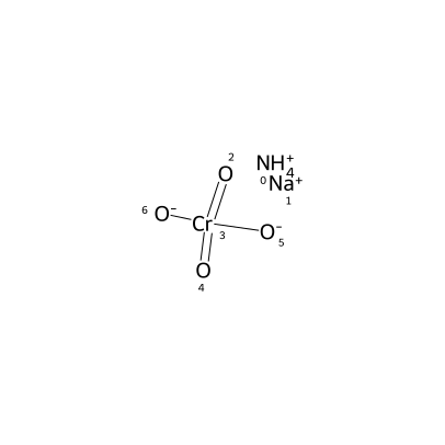 [NH4+].[Na+].[O]=[Cr](=[O])([O-])[O-]